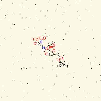 CC(C)(C)OC(=O)Oc1c(C2CC2B2OC3C[C@@H]4C[C@@H](C4(C)C)[C@]3(C)O2)ccc(OC2CN(C3C[C@@H](C(=O)O)N(C(=O)OC(C)(C)C)C3)C2)c1C(=O)OC(C)(C)C